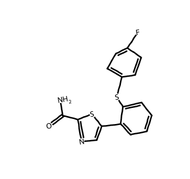 NC(=O)c1ncc(-c2ccccc2Sc2ccc(F)cc2)s1